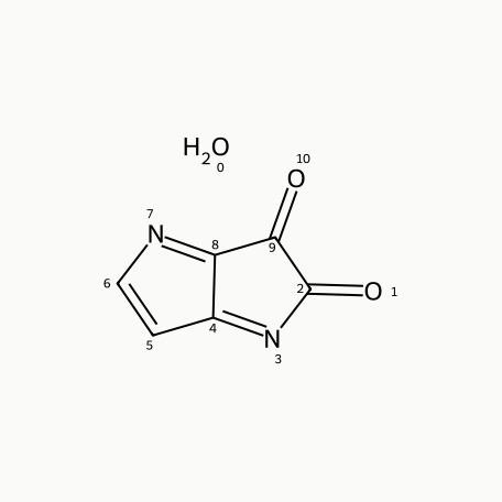 O.O=c1nc2ccnc-2c1=O